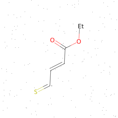 CCOC(=O)/C=C/[C]=S